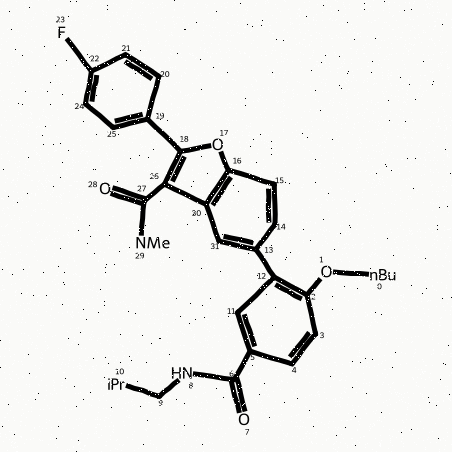 CCCCOc1ccc(C(=O)NCC(C)C)cc1-c1ccc2oc(-c3ccc(F)cc3)c(C(=O)NC)c2c1